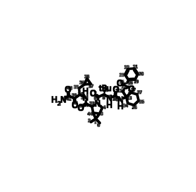 CC1(C)C2CN(C(=O)[C@@H](NC(=O)NC3(CS(=O)(=O)c4ccccc4)CCCCC3)C(C)(C)C)C(C(=O)NC(CC3CC3)C(=O)C(N)=O)C21